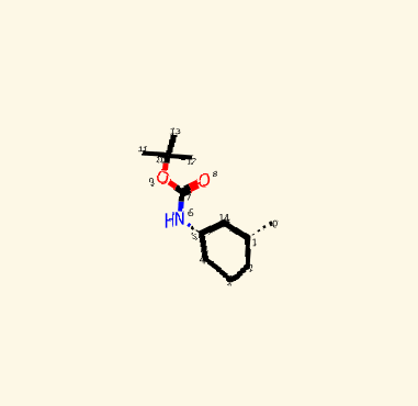 C[C@@H]1CCC[C@H](NC(=O)OC(C)(C)C)C1